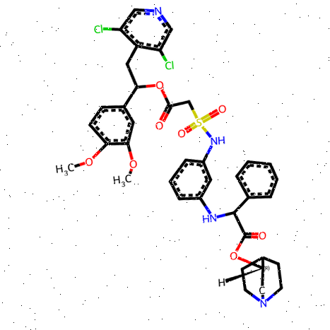 COc1ccc(C(Cc2c(Cl)cncc2Cl)OC(=O)CS(=O)(=O)Nc2cccc(NC(C(=O)O[C@H]3CN4CCC3CC4)c3ccccc3)c2)cc1OC